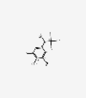 Cc1cc(C(Br)C(F)(F)F)cc(Br)c1Cl